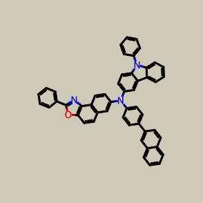 c1ccc(-c2nc3c(ccc4cc(N(c5ccc(-c6ccc7ccccc7c6)cc5)c5ccc6c(c5)c5ccccc5n6-c5ccccc5)ccc43)o2)cc1